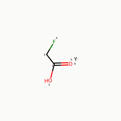 O=C(O)CF.[Y]